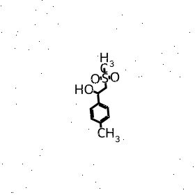 Cc1ccc(C(O)CS(C)(=O)=O)cc1